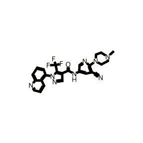 CN1CCN(c2ncc(NC(=O)c3cnn(-c4cccc5ncccc45)c3C(F)(F)F)cc2C#N)CC1